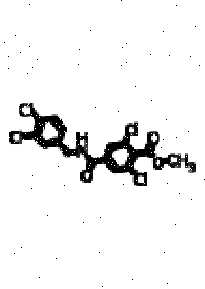 COC(=O)c1c(Cl)cc(C(=O)NCc2ccc(Cl)c(Cl)c2)cc1Cl